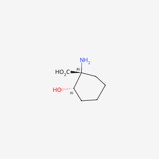 N[C@]1(C(=O)O)CCCC[C@@H]1O